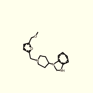 COCc1ccc(CN2CCC(N3[CH]Nc4ccccc43)CC2)o1